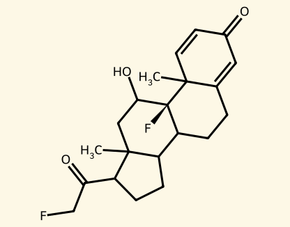 CC12CC(O)[C@@]3(F)C(CCC4=CC(=O)C=CC43C)C1CCC2C(=O)CF